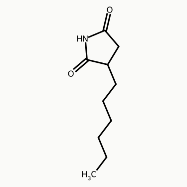 CCCCCCC1CC(=O)NC1=O